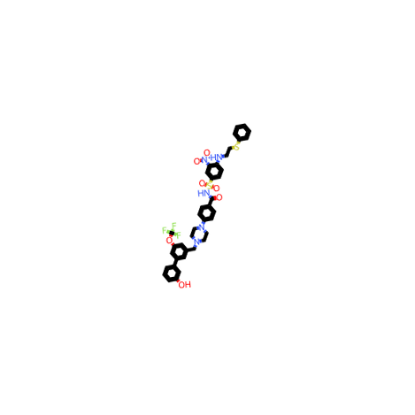 O=C(NS(=O)(=O)c1ccc(NCCSc2ccccc2)c([N+](=O)[O-])c1)c1ccc(N2CCN(Cc3cc(OC(F)(F)F)cc(-c4cccc(O)c4)c3)CC2)cc1